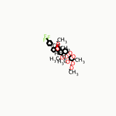 CCOCO[C@@H]1[C@H](O[C@H]2CC[C@@]3(C)[C@H](CC[C@@H]4[C@@H]3CC[C@]3(C)[C@@H](c5ccc(C(F)(F)F)cc5)CC[C@]43OCOCC)C2)O[C@@H](C)[C@H](OCOCC)[C@H]1OC